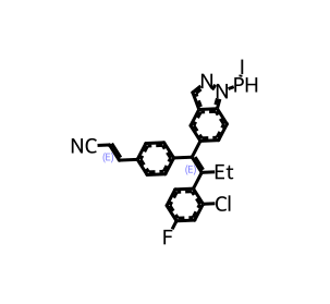 CC/C(=C(/c1ccc(/C=C/C#N)cc1)c1ccc2c(cnn2PI)c1)c1ccc(F)cc1Cl